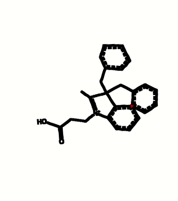 CC1=[N+](CCC(=O)O)c2ccccc2C1(Cc1ccccc1)Cc1ccccc1